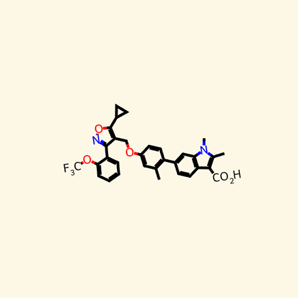 Cc1cc(OCc2c(-c3ccccc3OC(F)(F)F)noc2C2CC2)ccc1-c1ccc2c(C(=O)O)c(C)n(C)c2c1